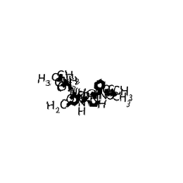 C=CCCC(NC(=O)[C@@H]1CCCN1C(=O)[C@@H](NC(=O)OC(C)(C)C)C1CCCCC1)C(=O)C(=O)NCCC(=O)NC(C)(C)C